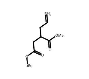 C=CCC(CC(=O)OC(C)(C)C)C(=O)OC